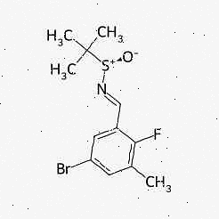 Cc1cc(Br)cc(/C=N/[S@+]([O-])C(C)(C)C)c1F